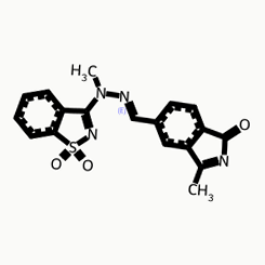 CC1=NC(=O)c2ccc(/C=N/N(C)C3=NS(=O)(=O)c4ccccc43)cc21